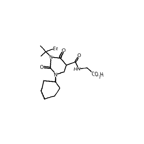 CCC(C)(C)N1C(=O)C(C(=O)NCC(=O)O)CN(C2CCCCC2)C1=O